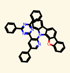 c1ccc(-c2cnc(-n3c4ccccc4c4ccc5c6ccccc6oc5c43)c(-c3nc(-c4ccccc4)nc(-c4ccccc4)n3)c2)cc1